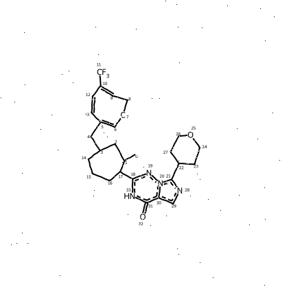 CC1CC(CC2=C/CC/C=C(C(F)(F)F)/C=C\2)CCCC1c1nn2c(C3CCOCC3)ncc2c(=O)[nH]1